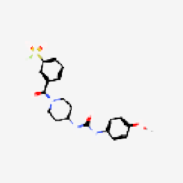 O=C(Nc1ccc(OC(F)(F)F)cc1)NC1CCN(C(=O)c2cccc(S(=O)(=O)F)c2)CC1